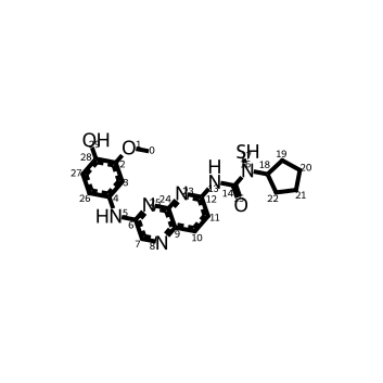 COc1cc(Nc2cnc3ccc(NC(=O)N(S)C4CCCC4)nc3n2)ccc1O